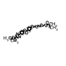 CCC(C)C(=O)OCCOCCOCCOc1ccc(C(=O)Oc2ccc(-c3ncc(C(=O)OC(C)C)cn3)cc2)cc1